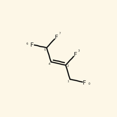 FC/C(F)=C/C(F)F